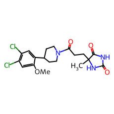 COc1cc(Cl)c(Cl)cc1C1CCN(C(=O)CCC2(C)NC(=O)NC2=O)CC1